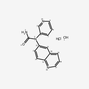 Cl.Cl.NC(=O)N(c1cccnc1)c1ccc2ncccc2c1